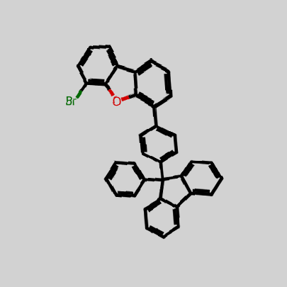 Brc1cccc2c1oc1c(-c3ccc(C4(c5ccccc5)c5ccccc5-c5ccccc54)cc3)cccc12